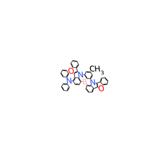 Cc1cc2c3c(c1)-n1c4c(ccc(N(c5ccccc5)c5ccccc5)c4c4oc5ccccc5c41)B3c1cccc3c4oc5ccccc5c4n-2c13